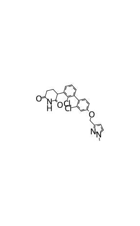 Cn1ccc(COc2ccc(-c3cccc(C4CCC(=O)NC4=O)c3Cl)c(Cl)c2)n1